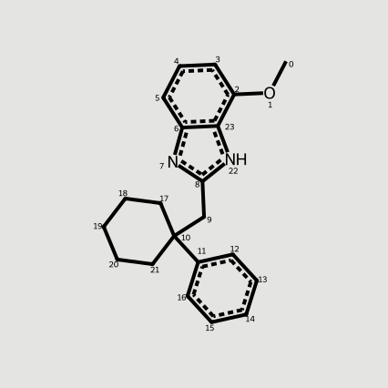 COc1cccc2nc(CC3(c4ccccc4)CCCCC3)[nH]c12